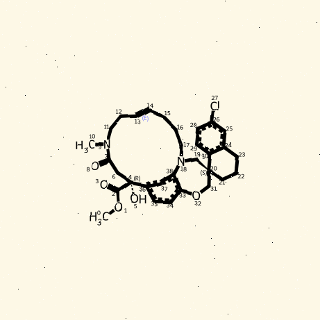 COC(=O)[C@@]1(O)CC(=O)N(C)CC/C=C/CCCN2C[C@@]3(CCCc4cc(Cl)ccc43)COc3ccc1cc32